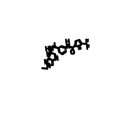 CCn1cc2ncc(N[C@@H](C)c3cccc(NC(=O)c4ccc(C(F)F)s4)c3)nc2n1